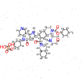 Cc1ccc(OC(=O)N2CCc3cc(-c4cc(C(=O)N(c5ccncc5)c5ccc(OP(=O)(O)O)cc5)c(C)n4C)c(C(=O)N4Cc5ccccc5C[C@H]4CN4CCOCC4)cc3C2)cc1